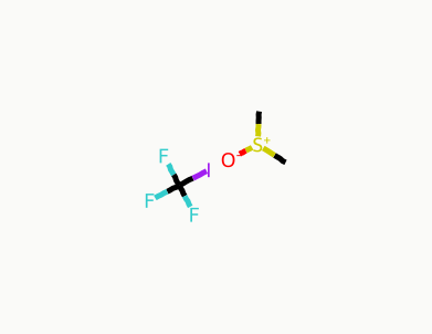 C[S+](C)[O-].FC(F)(F)I